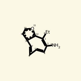 CC/C1=C(N)/C=C/C=C/c2ccoc21